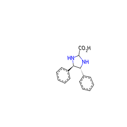 O=C(O)C1N[C@H](c2ccccc2)[C@@H](c2ccccc2)N1